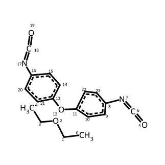 CCOCC.O=C=Nc1ccc(Oc2ccc(N=C=O)cc2)cc1